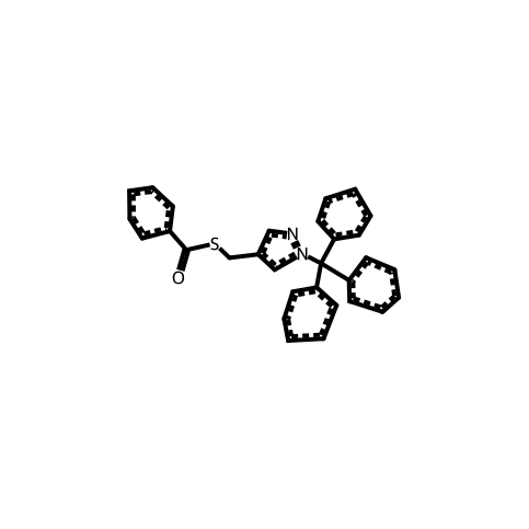 O=C(SCc1cnn(C(c2ccccc2)(c2ccccc2)c2ccccc2)c1)c1ccccc1